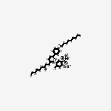 CCCCCCCCCOc1ccc(-c2ccc(CCC(F)CCCCCC)cn2)cc1.Cc1ccc(S(=O)(=O)[N-]Cl)cc1.[Na+]